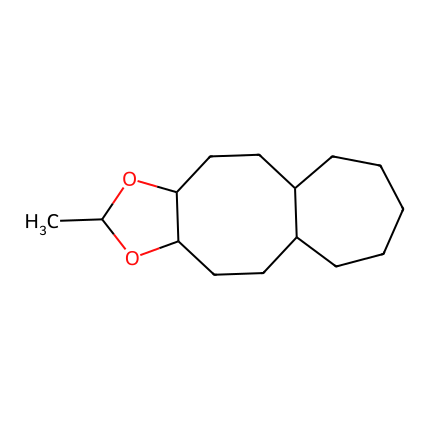 CC1OC2CCC3CCCCCC3CCC2O1